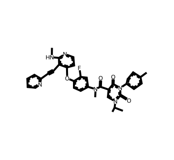 CNc1nccc(Oc2ccc(N(C)C(=O)c3cn(C(C)C)c(=O)n(-c4ccc(C)cc4)c3=O)cc2F)c1C#Cc1ccccn1